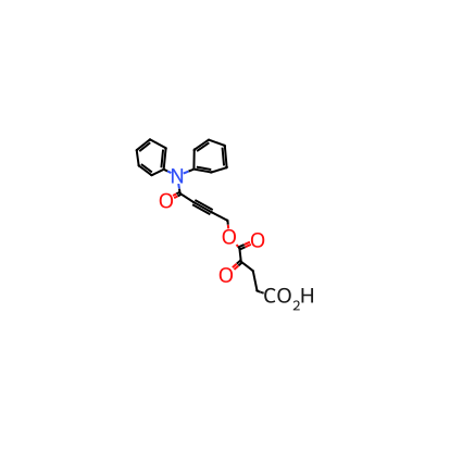 O=C(O)CCC(=O)C(=O)OCC#CC(=O)N(c1ccccc1)c1ccccc1